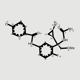 COC[C@@](NC(N)=O)(c1cc(NC(=O)c2ccc(Cl)cn2)ccc1F)[C@H]1C[C@H]1N